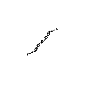 C=CC(=O)OCCCCOC(=O)C1CCC(C2CCC(C(=O)Oc3ccc(OC(=O)C4CCC(C5CCC(C(=O)OCCCCOC(=O)C=C)CC5)CC4)cc3)CC2)CC1